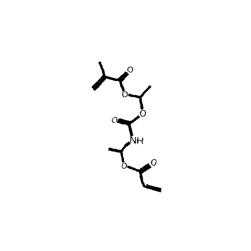 C=CC(=O)OC(C)NC(=O)OC(C)OC(=O)C(=C)C